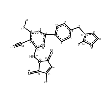 CSc1nc(-c2ccc(Cn3ccnc3C)cc2)nc(NN2C(=O)C=C(C)C2=O)c1C#N